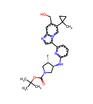 CC(C)(C)OC(=O)N1C[C@H](Nc2cccc(-c3cnc4cc(CO)c(C5(C)CC5)cn34)n2)[C@@H](F)C1